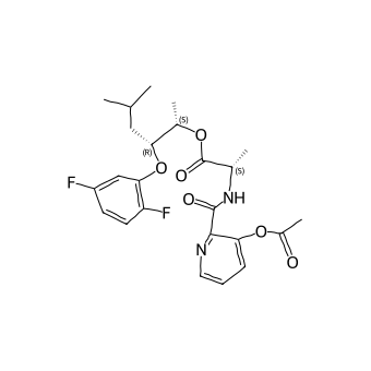 CC(=O)Oc1cccnc1C(=O)N[C@@H](C)C(=O)O[C@@H](C)[C@@H](CC(C)C)Oc1cc(F)ccc1F